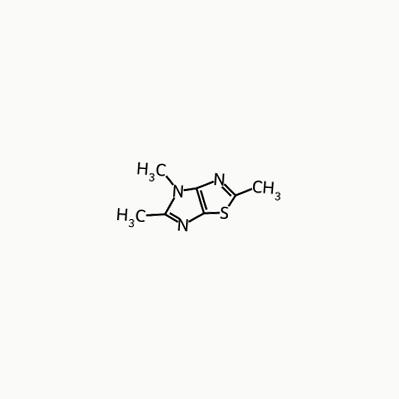 Cc1nc2c(nc(C)n2C)s1